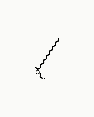 [CH2]CCOC(C)CCCCCCCCCCCCCC